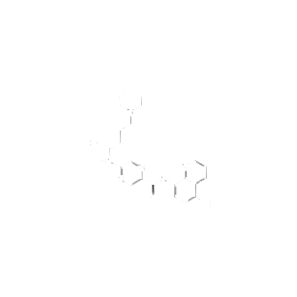 CCN(CC)CCCC(C)Nc1cnc(C(=O)Nc2ccc(Cl)c3cccnc23)cn1